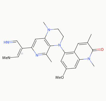 CN/C=C(\C=N)c1cc2c(c(C)n1)N(c1cc(OC)cc3c1cc(C)c(=O)n3C)CCN2C